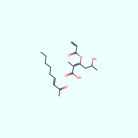 C=CC(=O)OC(CC(C)O)=C(C)C(=O)O.CCCCC/C=C/C(C)=O